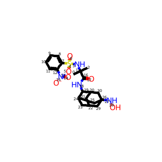 CC(C)(NS(=O)(=O)c1ccccc1[N+](=O)[O-])C(=O)NC1C2CC3CC1CC(NO)(C3)C2